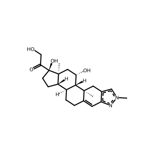 Cn1cc2c(n1)C=C1CC[C@@H]3[C@H]([C@@H](O)C[C@@]4(C)[C@H]3CC[C@]4(O)C(=O)CO)[C@@]1(C)C2